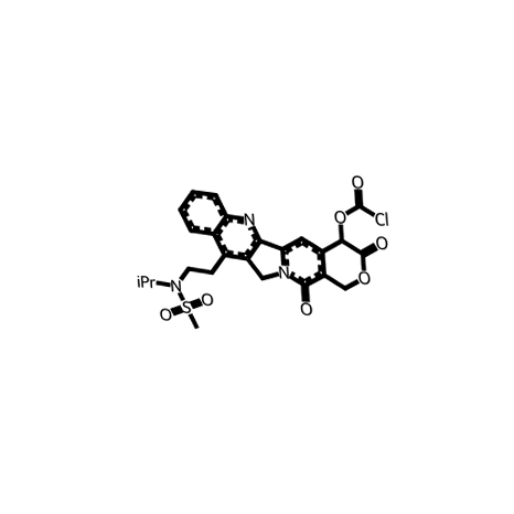 CC(C)N(CCc1c2c(nc3ccccc13)-c1cc3c(c(=O)n1C2)COC(=O)C3OC(=O)Cl)S(C)(=O)=O